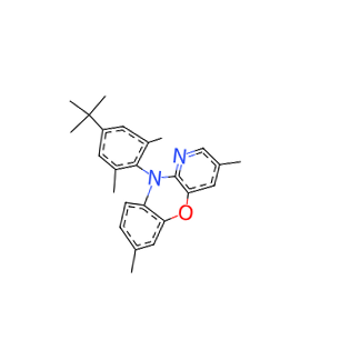 Cc1ccc2c(c1)Oc1cc(C)cnc1N2c1c(C)cc(C(C)(C)C)cc1C